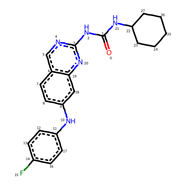 O=C(Nc1ncc2ccc(Nc3ccc(F)cc3)cc2n1)NC1CCCCC1